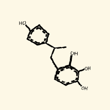 CC(Cc1ccc(O)c(O)c1O)c1ccc(O)cc1